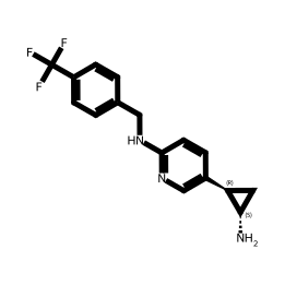 N[C@H]1C[C@@H]1c1ccc(NCc2ccc(C(F)(F)F)cc2)nc1